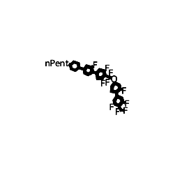 CCCCCC1CCC(c2ccc(-c3cc(F)c(C(F)(F)Oc4ccc(-c5cc(F)c(C(F)F)c(F)c5)c(F)c4)c(F)c3)c(F)c2)CC1